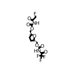 O=C(CF)NC(=O)OC[C@@H]1CC[C@@H](COC(=O)NC(=O)C(F)(F)F)O1